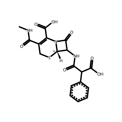 CNC(=O)C1=C(C(=O)O)N2C(=O)C(NC(=O)C(C(=O)O)c3ccccc3)[C@@H]2SC1